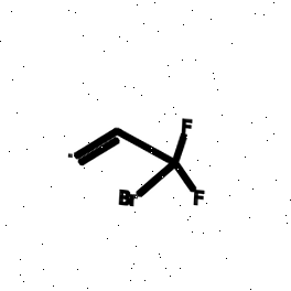 [CH]=CC(F)(F)Br